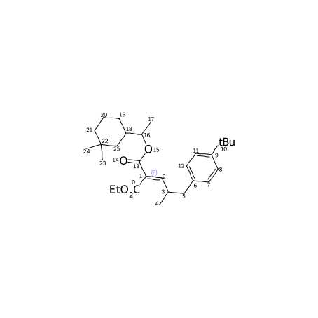 CCOC(=O)/C(=C\C(C)Cc1ccc(C(C)(C)C)cc1)C(=O)OC(C)C1CCCC(C)(C)C1